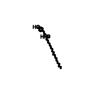 CCCCCCCCCCCCCCCCCCCCCC(=O)NCCCc1ccc(O)cc1